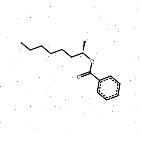 CCCCCC[C@@H](C)OC(=O)c1cc[c]cc1